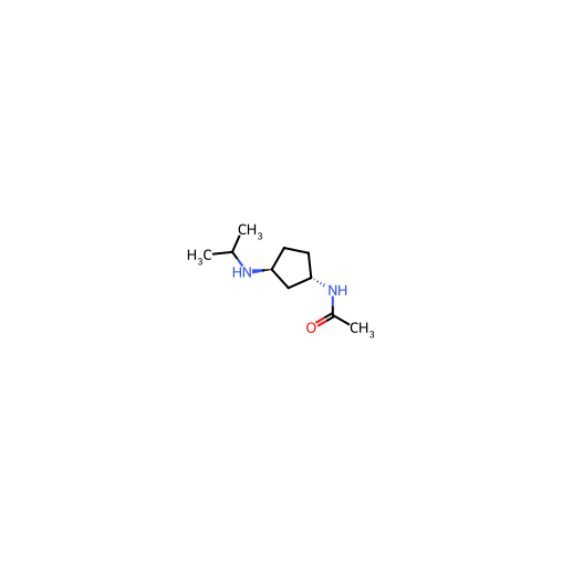 CC(=O)N[C@H]1CC[C@H](NC(C)C)C1